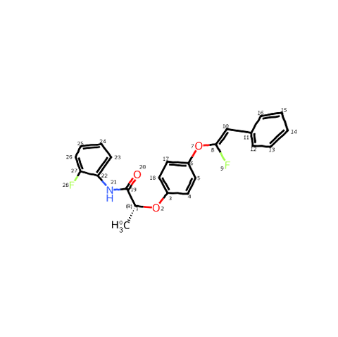 C[C@@H](Oc1ccc(OC(F)=Cc2ccccc2)cc1)C(=O)Nc1ccccc1F